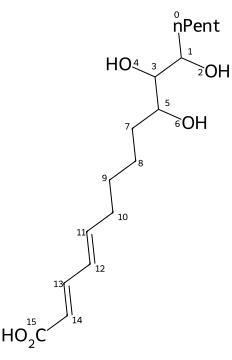 CCCCCC(O)C(O)C(O)CCCCC=CC=CC(=O)O